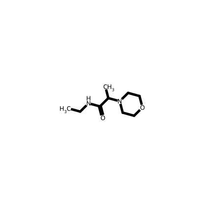 CCNC(=O)C(C)N1CCOCC1